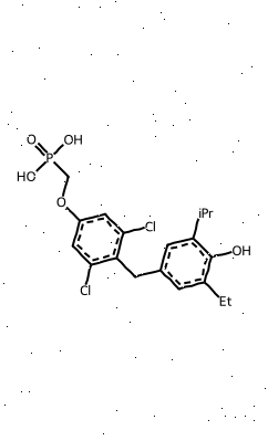 CCc1cc(Cc2c(Cl)cc(OCP(=O)(O)O)cc2Cl)cc(C(C)C)c1O